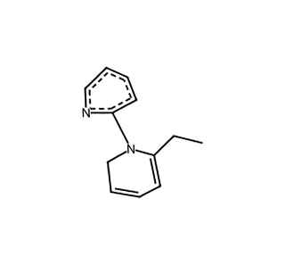 CCC1=CC=CCN1c1ccccn1